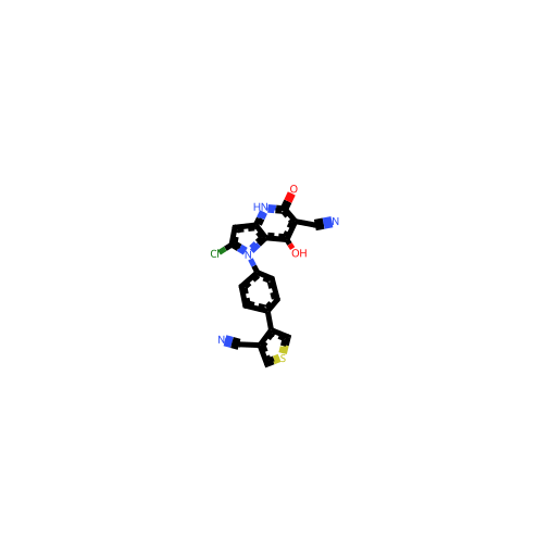 N#Cc1cscc1-c1ccc(-n2c(Cl)cc3[nH]c(=O)c(C#N)c(O)c32)cc1